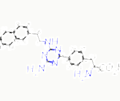 Nc1nc(NCCc2ccc3ccccc3c2)nc(-c2ccc(C[C@H](N)C(=O)O)cc2)n1